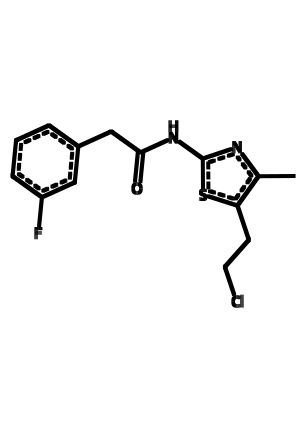 Cc1nc(NC(=O)Cc2cccc(F)c2)sc1CCCl